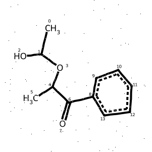 CC(O)OC(C)C(=O)c1ccccc1